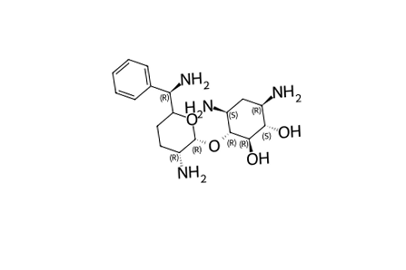 N[C@H](c1ccccc1)C1CC[C@@H](N)[C@@H](O[C@H]2[C@H](O)[C@@H](O)[C@H](N)C[C@@H]2N)O1